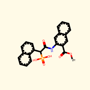 CC(C)OC(=O)c1cc2ccccc2cc1NC(=O)C(c1cccc2ccccc12)P(=O)(O)O